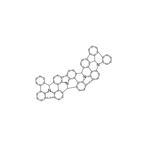 c1ccc2c(c1)-c1cccc3c4ccc5c6c4n(c13)C2c1ccc2c3ccc4c7c3n(c2c1-6)C5c1ccc2c3ccc5c6c3n(c2c1-7)C4c1ccc2c(c1-6)C1c3c(cccc3-2)-c2ccccc2N51